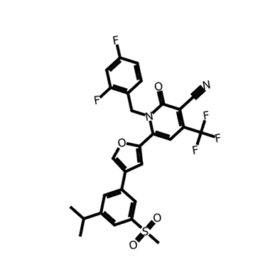 CC(C)c1cc(-c2coc(-c3cc(C(F)(F)F)c(C#N)c(=O)n3Cc3ccc(F)cc3F)c2)cc(S(C)(=O)=O)c1